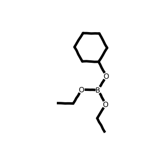 CCOB(OCC)OC1CCCCC1